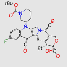 CC[C@@]1(O)C(=C=O)OCC2=C1C=C1C3=C(CN1C2=C=O)N([C@@H]1CCCN(C(=O)OC(C)(C)C)C1)c1ccc(F)cc1C3=C=O